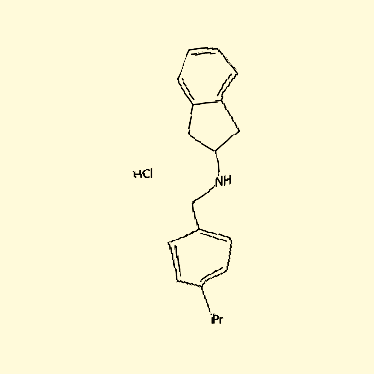 CC(C)c1ccc(CNC2Cc3ccccc3C2)cc1.Cl